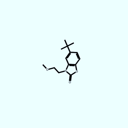 COCCn1c(=O)oc2ccc(C(C)(C)C)cc21